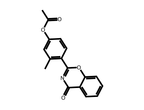 CC(=O)Oc1ccc(-c2nc(=O)c3ccccc3o2)c(C)c1